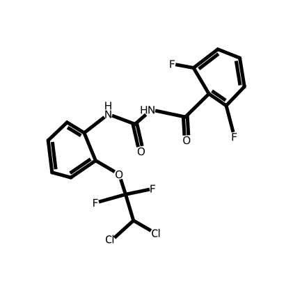 O=C(NC(=O)c1c(F)cccc1F)Nc1ccccc1OC(F)(F)C(Cl)Cl